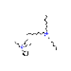 CCCCCCCC[N+](C)(CCCCCCCC)CCCCCCCC.CCCC[N+](CCCC)(CCCC)Cc1ccccc1